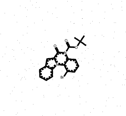 CC(C)(C)OC(=O)n1c(=O)c2cc3ccccc3n2c2c(Br)cccc21